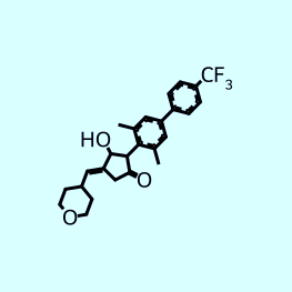 Cc1cc(-c2ccc(C(F)(F)F)cc2)cc(C)c1C1C(=O)C/C(=C\C2CCOCC2)C1O